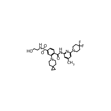 Cc1cc(NC(=O)c2ccc(S(=O)(=O)NCCO)cc2N2CCC3(CC2)CC3)nc(N2CCC(F)(F)CC2)c1